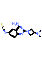 CN(C)C1CN(c2nc(N)c3cc(N=C=S)ccc3n2)C1